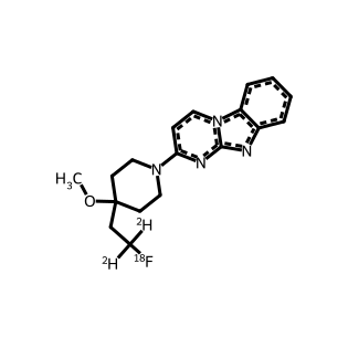 [2H]C([2H])([18F])CC1(OC)CCN(c2ccn3c(n2)nc2ccccc23)CC1